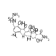 CN(C)c1cc(CNC(N)=S)c(O)c2c1C[C@H]1C[C@H]3CC(O)C(C(N)=O)C(=O)[C@@]3(O)C(O)=C1C2=O